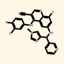 Cn1cnc(C(Nc2cc(Cl)c3ncc(C#N)c(Nc4ccc(F)c(Cl)c4)c3c2)c2cccnc2)c1